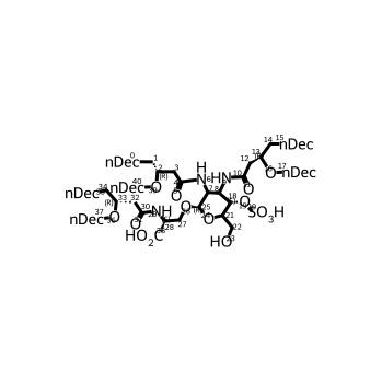 CCCCCCCCCCC[C@H](CC(=O)NC1C(NC(=O)C[C@@H](CCCCCCCCCCC)OCCCCCCCCCC)[C@H](OS(=O)(=O)O)C(CO)O[C@H]1OC[C@H](NC(=O)C[C@@H](CCCCCCCCCCC)OCCCCCCCCCC)C(=O)O)OCCCCCCCCCC